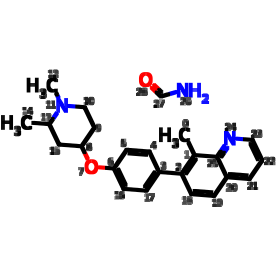 Cc1c(-c2ccc(OC3CCN(C)C(C)C3)cc2)ccc2cccnc12.NC=O